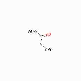 CC[CH]CC(=O)NC